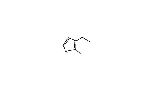 CCc1ccsc1C